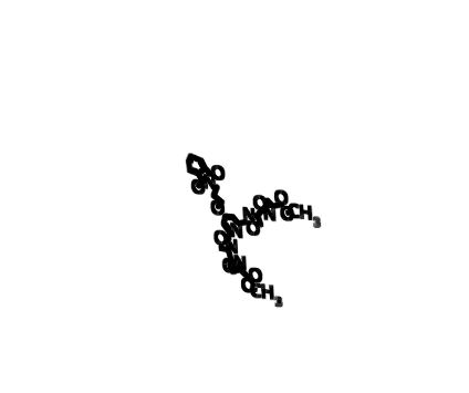 COC(=O)c1coc(C2COC(c3cc(OCCCN4C(=O)c5ccccc5C4=O)cc(C4=NC(c5nc(C(=O)OC)co5)CO4)n3)=N2)n1